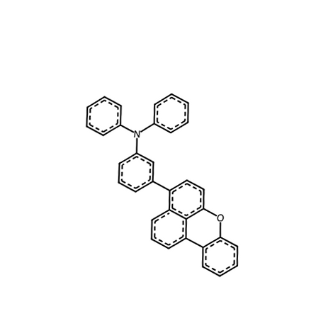 c1ccc(N(c2ccccc2)c2cccc(-c3ccc4c5c(cccc35)-c3ccccc3O4)c2)cc1